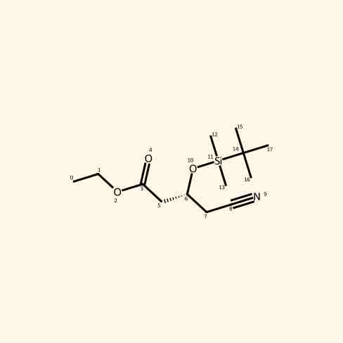 CCOC(=O)C[C@@H](CC#N)O[Si](C)(C)C(C)(C)C